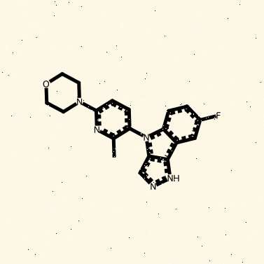 Cc1nc(N2CCOCC2)ccc1-n1c2ccc(F)cc2c2[nH]ncc21